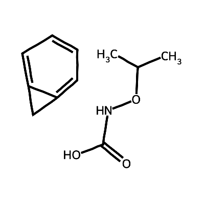 CC(C)ONC(=O)O.c1ccc2c(c1)C2